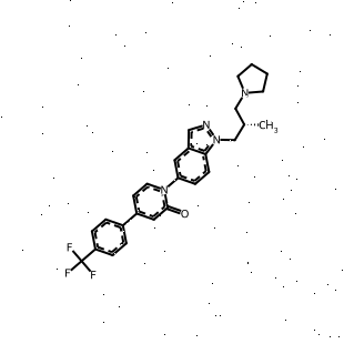 C[C@@H](CN1CCCC1)Cn1ncc2cc(-n3ccc(-c4ccc(C(F)(F)F)cc4)cc3=O)ccc21